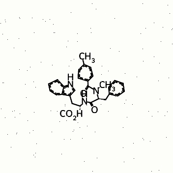 Cc1ccc(C(=O)N(C)[C@@H](Cc2ccccc2)C(=O)N[C@@H](Cc2c[nH]c3ccccc23)C(=O)O)cc1